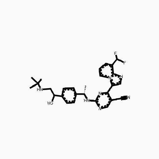 C[C@H](Nc1ncc(C#N)c(-c2cnc3c(C(F)F)cccn23)n1)c1ccc(C(O)CNC(C)(C)C)cc1